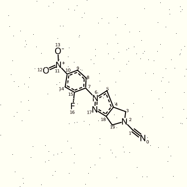 N#CN1Cc2cn(-c3ccc([N+](=O)[O-])cc3F)nc2C1